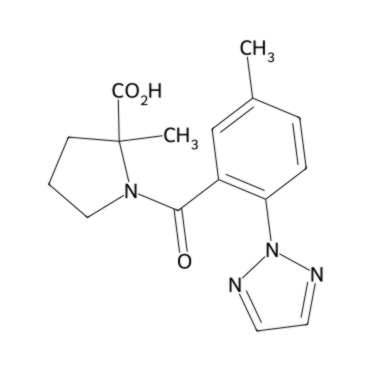 Cc1ccc(-n2nccn2)c(C(=O)N2CCCC2(C)C(=O)O)c1